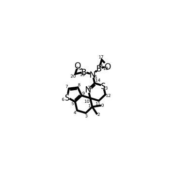 CC1(C)CCc2sccc2C12CCSC(N(B1CO1)B1CO1)=N2